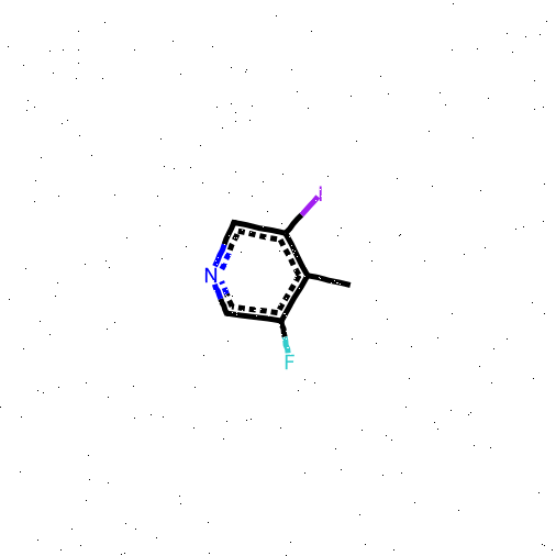 Cc1c(F)cncc1I